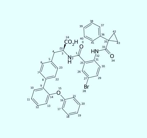 O=C(N[C@@H](Cc1ccc(-c2ccccc2Oc2ccccc2)cc1)C(=O)O)c1cc(Br)ccc1NC(=O)C1(c2ccccc2)CC1